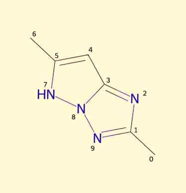 Cc1nc2cc(C)[nH]n2n1